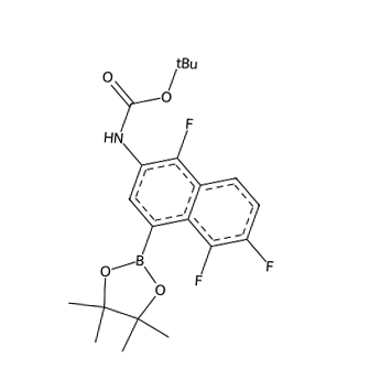 CC(C)(C)OC(=O)Nc1cc(B2OC(C)(C)C(C)(C)O2)c2c(F)c(F)ccc2c1F